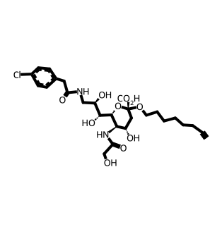 C#CCCCCCCO[C@]1(C(=O)O)C[C@H](O)[C@@H](NC(=O)CO)[C@H]([C@H](O)[C@H](O)CNC(=O)Cc2ccc(Cl)cc2)O1